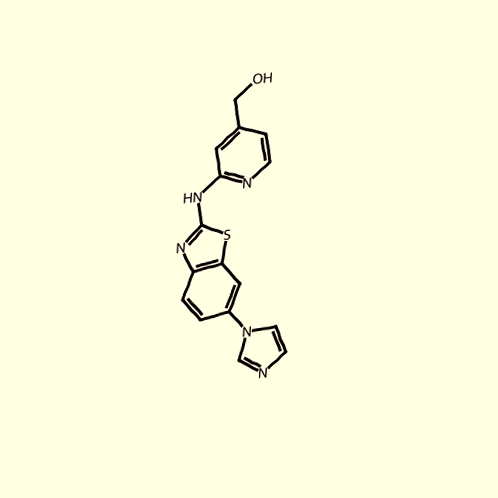 OCc1ccnc(Nc2nc3ccc(-n4ccnc4)cc3s2)c1